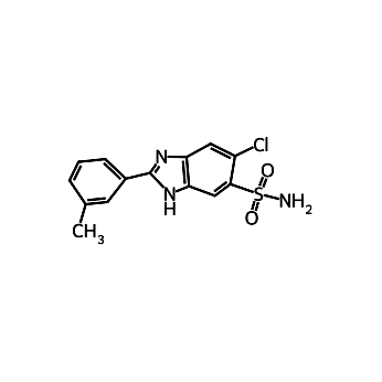 Cc1cccc(-c2nc3cc(Cl)c(S(N)(=O)=O)cc3[nH]2)c1